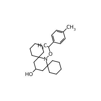 Cc1ccc(C(C)ON2C3(CCCCC3)CC(O)CC23CCCCC3)cc1